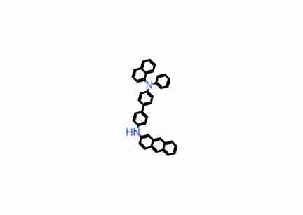 c1ccc(N(c2ccc(-c3ccc(Nc4ccc5cc6ccccc6cc5c4)cc3)cc2)c2cccc3ccccc23)cc1